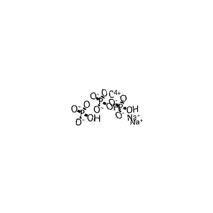 O=P([O-])([O-])O.O=P([O-])([O-])O.O=P([O-])([O-])O.[C+4].[Na+].[Na+]